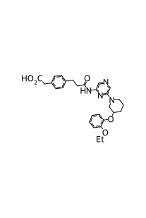 CCOc1ccccc1OC1CCCN(c2cncc(NC(=O)CCc3ccc(CC(=O)O)cc3)n2)C1